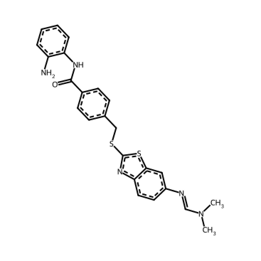 CN(C)C=Nc1ccc2nc(SCc3ccc(C(=O)Nc4ccccc4N)cc3)sc2c1